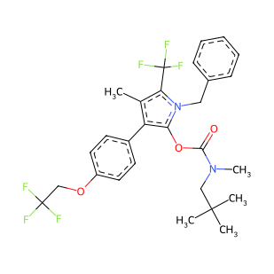 Cc1c(-c2ccc(OCC(F)(F)F)cc2)c(OC(=O)N(C)CC(C)(C)C)n(Cc2ccccc2)c1C(F)(F)F